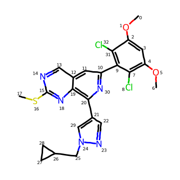 COc1cc(OC)c(Cl)c(-c2cc3cnc(SC)nc3c(-c3cnn(CC4CC4)c3)n2)c1Cl